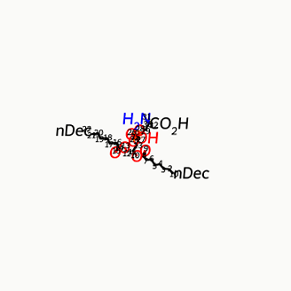 CCCCCCCCCCCCCCCCCC(=O)O[C@H](COC(=O)CCCCCCCCCCCCCCCC)COP(=O)(O)OC[C@H](N)C(=O)O